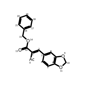 CC(=O)/C(=C\c1ccc2c(c1)OCO2)C(=O)OCc1ccccc1